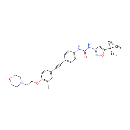 CC(C)(C)c1cc(NC(=O)Nc2ccc(C#Cc3ccc(OCCN4CCOCC4)c(I)c3)cc2)no1